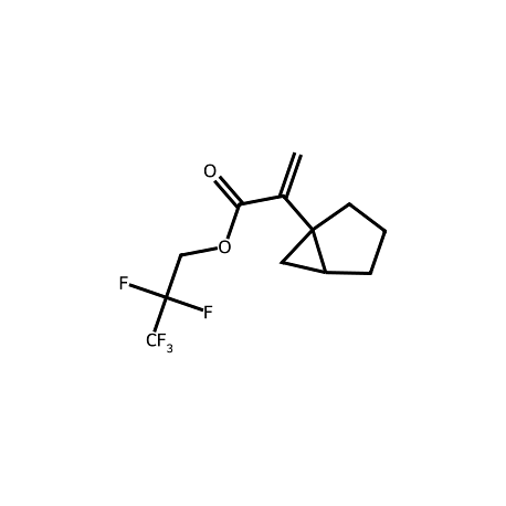 C=C(C(=O)OCC(F)(F)C(F)(F)F)C12CCCC1C2